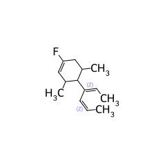 C/C=C\C(=C/C)C1C(C)C=C(F)CC1C